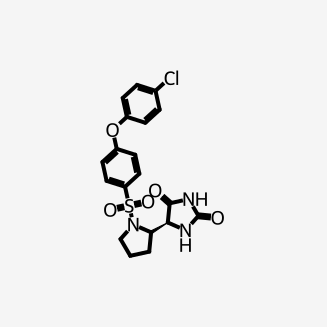 O=C1NC(=O)[C@H](C2CCCN2S(=O)(=O)c2ccc(Oc3ccc(Cl)cc3)cc2)N1